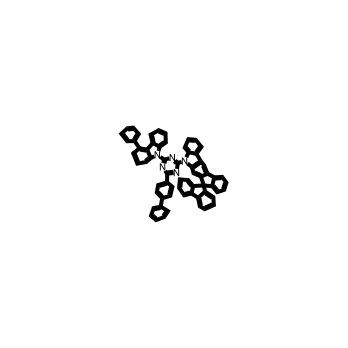 c1ccc(-c2ccc(-c3nc(-n4c5ccccc5c5cc6c(cc54)C4(c5ccccc5-c5ccccc54)c4ccccc4-6)nc(-n4c5ccccc5c5c(-c6ccccc6)cccc54)n3)cc2)cc1